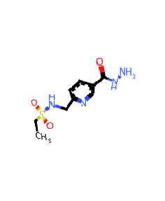 CCS(=O)(=O)NCc1ccc(C(=O)NN)cn1